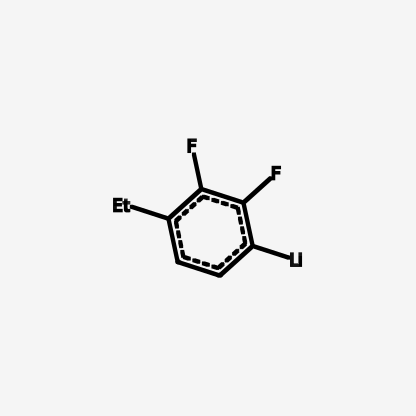 [Li][c]1ccc(CC)c(F)c1F